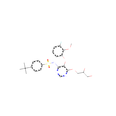 COc1c(F)cccc1Oc1c(NS(=O)(=O)c2ccc(C(C)(C)C)cc2)ncnc1OCC(O)CO